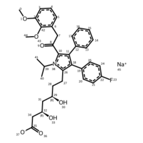 COc1cccc(CC(=O)c2c(-c3ccccc3)c(-c3ccc(F)cc3)c(CC[C@@H](O)C[C@@H](O)CC(=O)[O-])n2C(C)C)c1OC.[Na+]